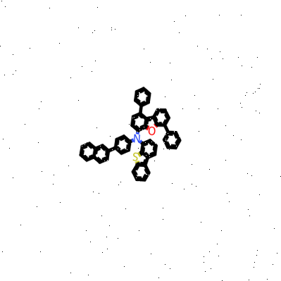 c1ccc(-c2cccc3c2oc2c(N(c4ccc(-c5ccc6ccccc6c5)cc4)c4cccc5c4sc4ccccc45)ccc(-c4ccccc4)c23)cc1